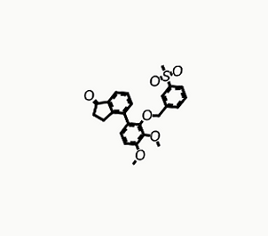 COc1ccc(-c2cccc3c2CCC3=O)c(OCc2cccc(S(C)(=O)=O)c2)c1OC